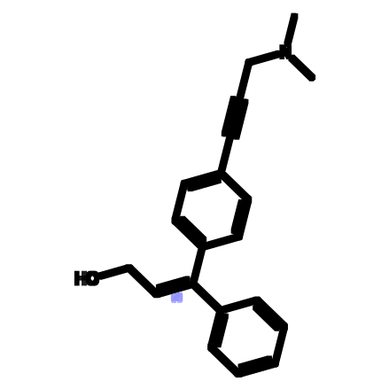 CN(C)CC#Cc1ccc(/C(=C\CO)c2ccccc2)cc1